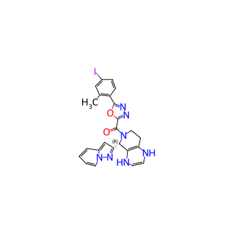 Cc1cc(I)ccc1-c1nnc(C(=O)N2CCC3=C(NC=CN3)[C@@H]2c2cc3ccccn3n2)o1